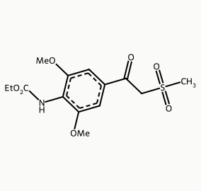 CCOC(=O)Nc1c(OC)cc(C(=O)CS(C)(=O)=O)cc1OC